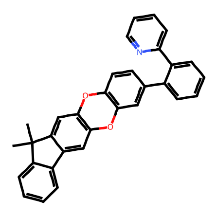 CC1(C)c2ccccc2-c2cc3c(cc21)Oc1ccc(-c2ccccc2-c2ccccn2)cc1O3